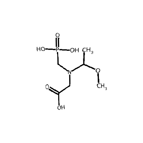 COC(C)N(CC(=O)O)CP(=O)(O)O